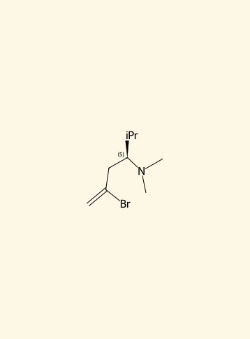 C=C(Br)C[C@@H](C(C)C)N(C)C